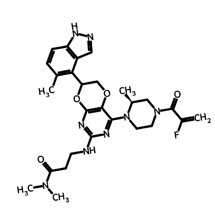 C=C(F)C(=O)N1CCN(c2nc(NCCC(=O)N(C)C)nc3c2OCC(c2c(C)ccc4[nH]ncc24)O3)[C@@H](C)C1